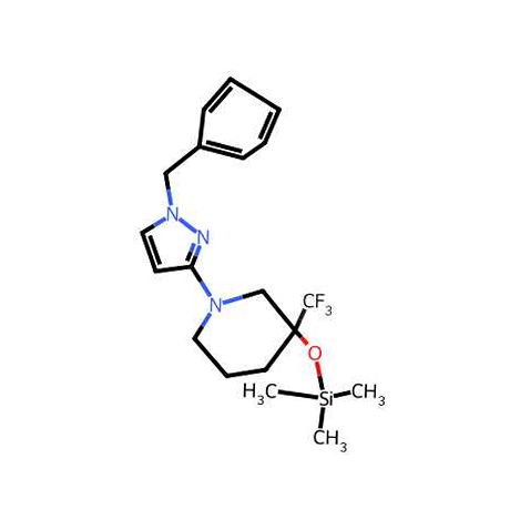 C[Si](C)(C)OC1(C(F)(F)F)CCCN(c2ccn(Cc3ccccc3)n2)C1